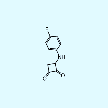 O=C1CC(Nc2ccc(F)cc2)C1=O